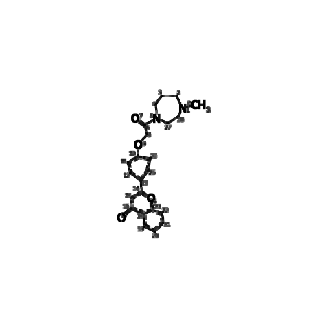 CN1CCCN(C(=O)COc2ccc(-c3cc(=O)c4ccccc4o3)cc2)CC1